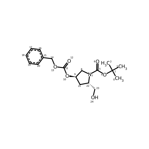 CC(C)(C)OC(=O)N1C[C@H](OC(=O)OCc2ccccc2)C[C@H]1CO